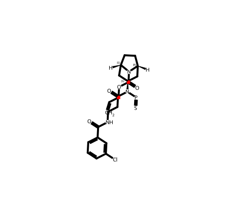 C=CCOC(=O)N1[C@@H]2CC[C@H]1C[C@H](N(P=S)C(=O)CCNC(=O)c1cccc(Cl)c1)C2